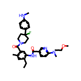 CCc1cc(C)c(C(=O)N2CCC(F)(c3ccc(NC)cc3)CC2)cc1NC(=O)c1ccc(N(C)CCOC)nc1